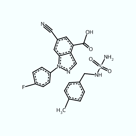 Cc1ccc(CNS(N)(=O)=O)cc1.N#Cc1cc(C(=O)O)c2cnn(-c3ccc(F)cc3)c2c1